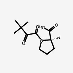 CC(C)(C)C(=O)C(=O)N1CCC[C@]1(I)C(=O)O